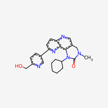 CN1Cc2cnc3ccc(-c4ccc(CO)nc4)nc3c2N(C2CCCCC2)C1=O